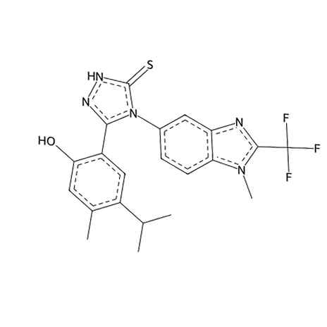 Cc1cc(O)c(-c2n[nH]c(=S)n2-c2ccc3c(c2)nc(C(F)(F)F)n3C)cc1C(C)C